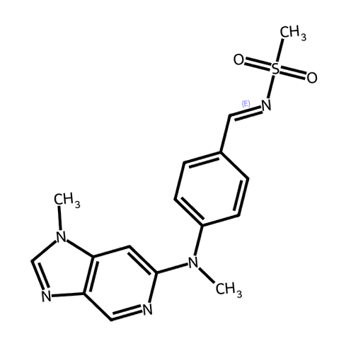 CN(c1ccc(/C=N/S(C)(=O)=O)cc1)c1cc2c(cn1)ncn2C